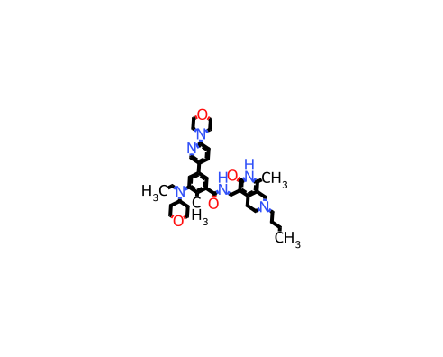 CCCCN1CCc2c(c(C)[nH]c(=O)c2CNC(=O)c2cc(-c3ccc(N4CCOCC4)nc3)cc(N(CC)C3CCOCC3)c2C)C1